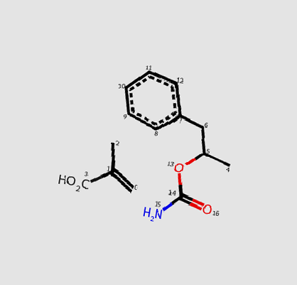 C=C(C)C(=O)O.CC(Cc1ccccc1)OC(N)=O